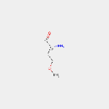 COCC[C@@H](N)[C]=O